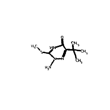 CSC1NC(=O)C(C(C)(C)C)=NN1N